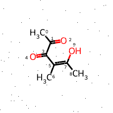 CC(=O)C(=O)C(C)=C(C)O